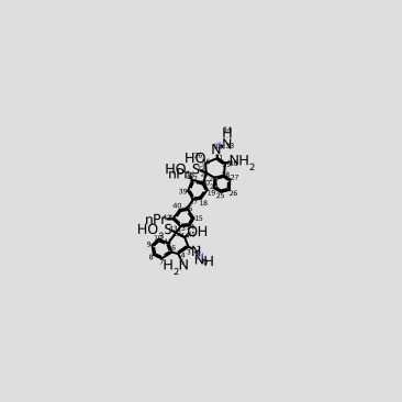 [H]/N=N/C1=C(N)c2ccccc2C(c2ccc(-c3ccc(C4(S(=O)(=O)O)c5ccccc5C(N)=C(/N=N/[H])C4O)c(CCC)c3)cc2CCC)(S(=O)(=O)O)C1O